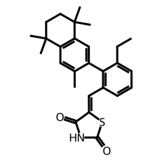 CCc1cccc(C=C2SC(=O)NC2=O)c1-c1cc2c(cc1C)C(C)(C)CCC2(C)C